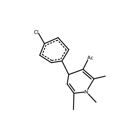 CC(=O)C1=C(C)N(C)C(C)=[C]C1c1ccc(Cl)cc1